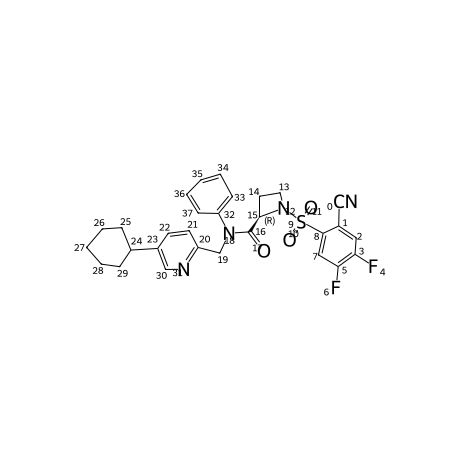 N#Cc1cc(F)c(F)cc1S(=O)(=O)N1CC[C@@H]1C(=O)N(Cc1ccc(C2CCCCC2)cn1)c1ccccc1